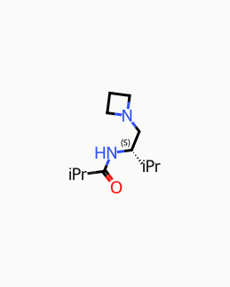 CC(C)C(=O)N[C@H](CN1CCC1)C(C)C